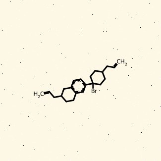 C=CCC1CCC(Br)(c2ccc3c(c2)CCC(CC=C)C3)CC1